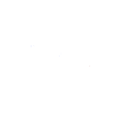 NC(=O)Oc1cc2ccc(Br)cc2[nH]1